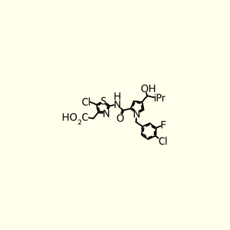 CC(C)C(O)c1cc(C(=O)Nc2nc(CC(=O)O)c(Cl)s2)n(Cc2ccc(Cl)c(F)c2)c1